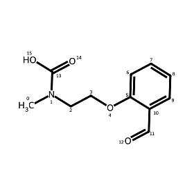 CN(CCOc1ccccc1C=O)C(=O)O